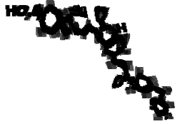 CC(C)(C)C1N(CCN2Cc3cc(/C=C/C(=O)N4CC=C(Cc5cccs5)CC4)cnc3NC2=O)CC12CCN(C(=O)O)CC2